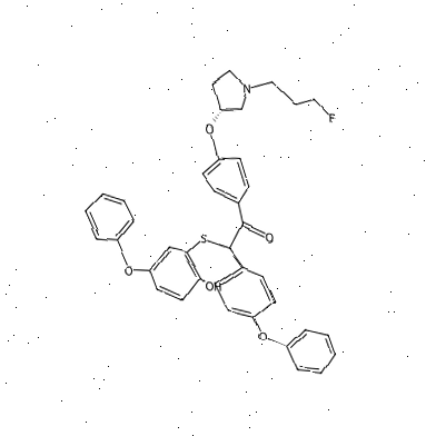 O=C(c1ccc(O[C@@H]2CCN(CCCF)C2)cc1)C(Sc1cc(Oc2ccccc2)ccc1O)c1ccc(Oc2ccccc2)cc1